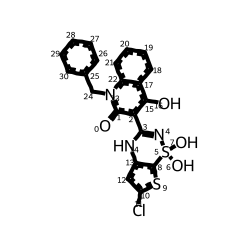 O=c1c(C2=NS(O)(O)c3sc(Cl)cc3N2)c(O)c2ccccc2n1Cc1ccccc1